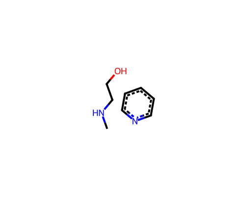 CNCCO.c1ccncc1